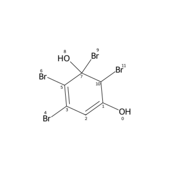 OC1=CC(Br)=C(Br)C(O)(Br)C1Br